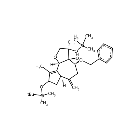 C=C1C[C@H](OCc2ccccc2)[C@]2(O)[C@H](OC[C@@]2(C)O[Si](C)(C)C)C2=C(C)C(O[Si](C)(C)C(C)(C)C)C[C@H]12